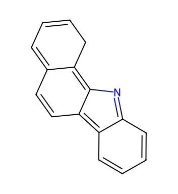 C1=CCc2c3c(ccc2=C1)=c1ccccc1=N3